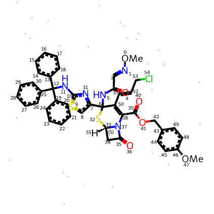 CON=CC(=O)NC1(c2csc(NC(c3ccccc3)(c3ccccc3)c3ccccc3)n2)S[C@H]2CC(=O)N2C(C(=O)OCc2ccc(OC)cc2)=C1C=CCCl